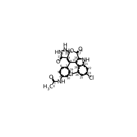 CC(=O)Nc1ccc(C(=C2CNNC2=O)c2c(C(=O)O)[nH]c3cc(Cl)cc(Cl)c23)cc1